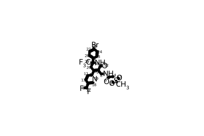 CS(=O)(=O)CC(=O)NCC1=C(c2ccc(C(F)F)cn2)C[C@@](c2ccc(Br)cc2)(C(F)(F)F)NC1=O